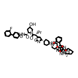 CC(C)[C@@H](C(=O)N1C[C@H](O)C[C@H]1C(=O)NOc1ccc(-c2ccccc2F)cc1)c1cc([C@H]2CC[C@@H](N3CCC(c4cnc(N5C6CCC5CN(c5cc(-c7ccccc7O)nnc5N)C6)nc4)CC3)CC2)no1